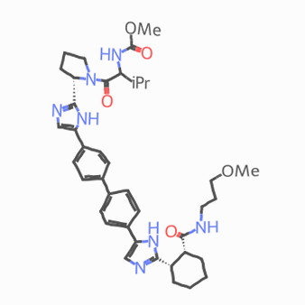 COCCCNC(=O)[C@@H]1CCCC[C@@H]1c1ncc(-c2ccc(-c3ccc(-c4cnc([C@@H]5CCCN5C(=O)C(NC(=O)OC)C(C)C)[nH]4)cc3)cc2)[nH]1